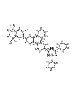 Cc1cc2c(cc1-c1ccc3c4ccc(-c5nc(-c6ccccc6)nc(-c6ccccc6)n5)cc4c4ccccc4c3c1)C(C)(C)CCC2(C)C